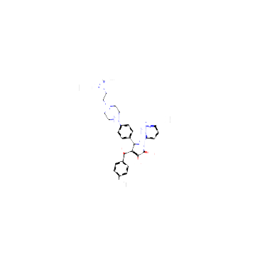 Cc1ccc(N2C(=O)C(O)=C(C(=O)c3ccc(C(C)C)cc3)C2c2ccc(N3CCN(CCN(C)C)CC3)cc2)nn1